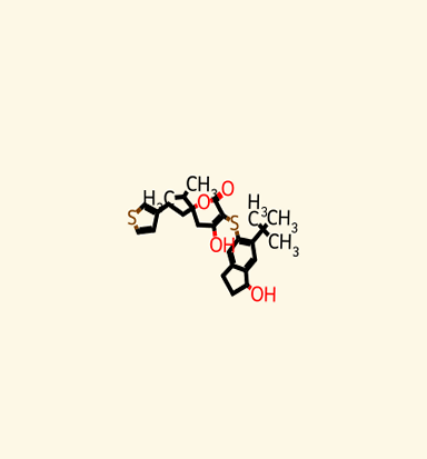 CC(C)C1(CCc2ccsc2)CC(O)=C(Sc2cc3c(cc2C(C)(C)C)C(O)CC3)C(=O)O1